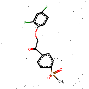 CS(=O)(=O)c1ccc(C(=O)COc2ccc(F)cc2F)cc1